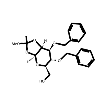 COC1(C)O[C@@H]2O[C@H](CO)[C@@H](OCc3ccccc3)[C@H](OCc3ccccc3)[C@@H]2O1